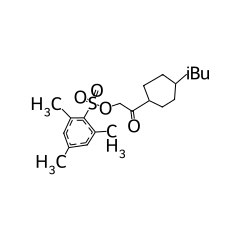 CCC(C)C1CCC(C(=O)COS(=O)(=O)c2c(C)cc(C)cc2C)CC1